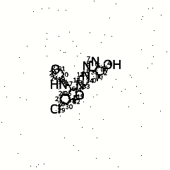 C[C@@H]1C[C@@H](O)c2ncnc(N3CCN(C(=O)C(CNC4CCOCC4)c4ccc(Cl)cc4F)CC3)c21